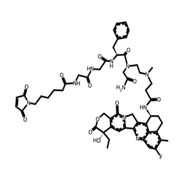 CC[C@@]1(O)C(=O)OCc2c1cc1n(c2=O)Cc2c-1nc1cc(F)c(C)c3c1c2[C@@H](NC(=O)CCN(C)CCN(CC(N)=O)C(=O)[C@H](Cc1ccccc1)NC(=O)CNC(=O)CNC(=O)CCCCCN1C(=O)C=CC1=O)CC3